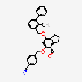 Cc1c(COc2cc(OCc3ccc(C#N)cc3)c(C=O)c3c2CCC3)cccc1-c1ccccc1